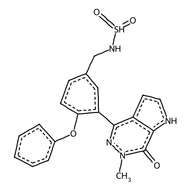 Cn1nc(-c2cc(CN[SH](=O)=O)ccc2Oc2ccccc2)c2cc[nH]c2c1=O